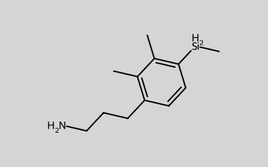 C[SiH2]c1ccc(CCCN)c(C)c1C